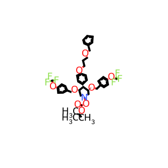 CC(C)(C)OC(=O)ON1C[C@H](OCc2ccc(OC(F)(F)F)cc2)[C@H](c2ccc(OCCCOCc3ccccc3)cc2)[C@H](OCc2ccc(OC(F)(F)F)cc2)C1